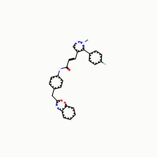 Cn1ncc(/C=C/C(=O)Nc2ccc(Cc3nc4ccccc4o3)cc2)c1-c1ccc(F)cc1